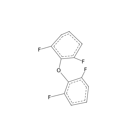 Fc1cccc(F)c1Oc1c(F)cccc1F